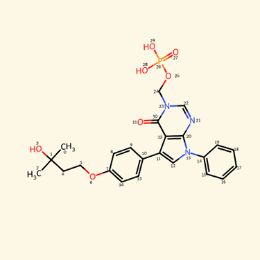 CC(C)(O)CCOc1ccc(-c2cn(-c3ccccc3)c3ncn(COP(=O)(O)O)c(=O)c23)cc1